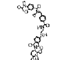 O=C1CCC(N2C(=O)c3ccc(NCCNC(=O)c4ccc(CN(C(=O)c5ccc6c(c5)OCC(=O)N6)C5CC5)cc4)cc3C2=O)C(=O)N1